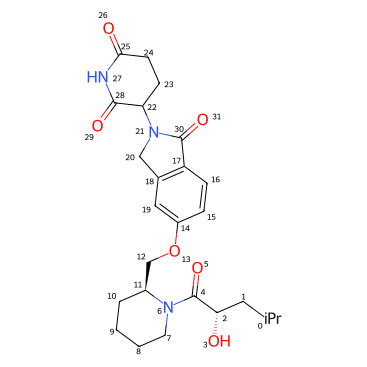 CC(C)C[C@H](O)C(=O)N1CCCC[C@H]1COc1ccc2c(c1)CN(C1CCC(=O)NC1=O)C2=O